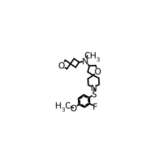 COc1ccc(SN2CCC3(CC2)CC(N(C)C2CC4(COC4)C2)CO3)c(F)c1